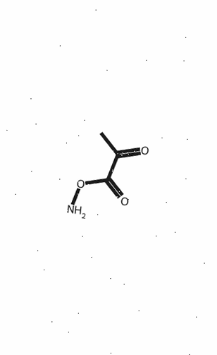 CC(=O)C(=O)ON